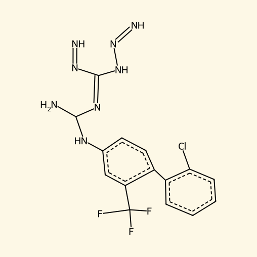 N=NN/C(N=N)=N/C(N)Nc1ccc(-c2ccccc2Cl)c(C(F)(F)F)c1